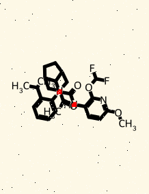 COc1ccc(NC(=O)N(c2ccccc2C(C)C)C2C3CCC2CN(C(C)=O)C3)c(OC(F)F)n1